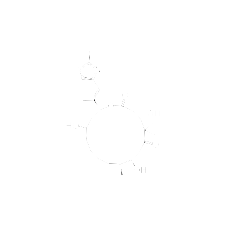 C/C(=C\c1csc(C)n1)[C@@H]1CC(O)[C@@H](C)CCC[C@H](C)[C@H](O)[C@@H](C)C(=O)C(C)(C)[C@@H](O)CC(=O)O1